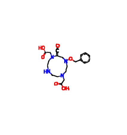 O=C=C1CN(OCc2ccccc2)CCN(CC(=O)O)CCNCCN1CC(=O)O